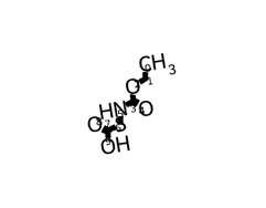 CCOC(=O)NSC(=O)O